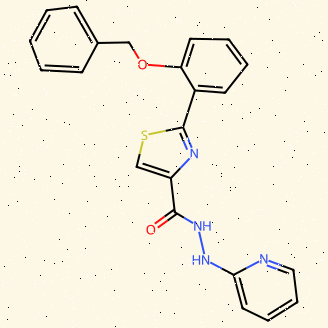 O=C(NNc1ccccn1)c1csc(-c2ccccc2OCc2ccccc2)n1